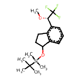 CO[C@@H](c1cccc2c1CCC2O[Si](C)(C)C(C)(C)C)C(F)(F)F